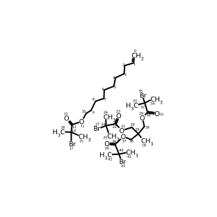 C=CCCCCCCCCCOC(=O)C(C)(C)Br.CC(COC(=O)C(C)(C)Br)(COC(=O)C(C)(C)Br)COC(=O)C(C)(C)Br